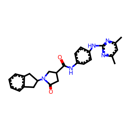 Cc1cc(C)nc(Nc2ccc(NC(=O)C3CC(=O)N(C4Cc5ccccc5C4)C3)cc2)n1